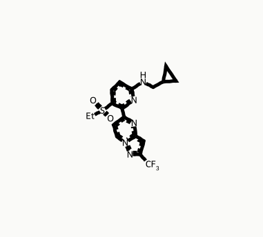 CCS(=O)(=O)c1ccc(NCC2CC2)nc1-c1ccn2nc(C(F)(F)F)cc2n1